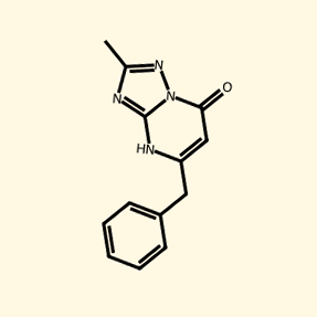 Cc1nc2[nH]c(Cc3ccccc3)cc(=O)n2n1